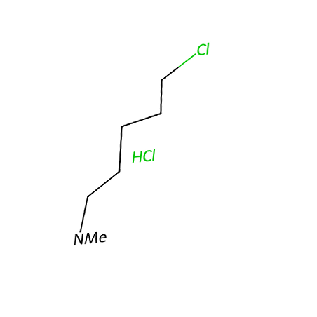 CNCCCCCCl.Cl